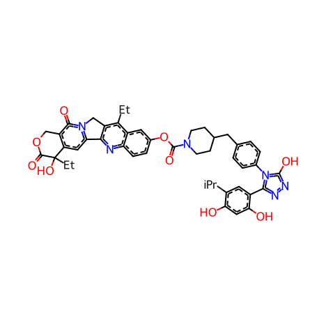 CCc1c2c(nc3ccc(OC(=O)N4CCC(Cc5ccc(-n6c(O)nnc6-c6cc(C(C)C)c(O)cc6O)cc5)CC4)cc13)-c1cc3c(c(=O)n1C2)COC(=O)C3(O)CC